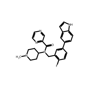 CN1CCC(N(Cc2cc(-c3ccc4[nH]ccc4c3)ccc2F)C(=O)c2cnccn2)CC1